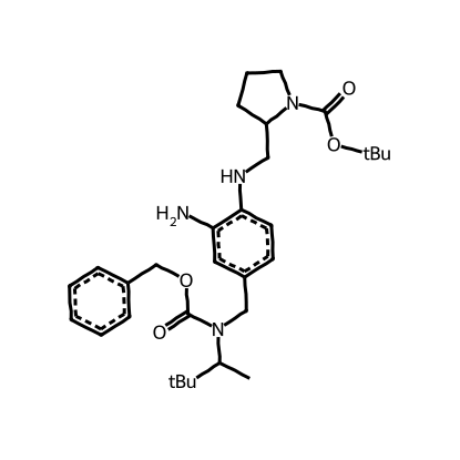 CC(N(Cc1ccc(NCC2CCCN2C(=O)OC(C)(C)C)c(N)c1)C(=O)OCc1ccccc1)C(C)(C)C